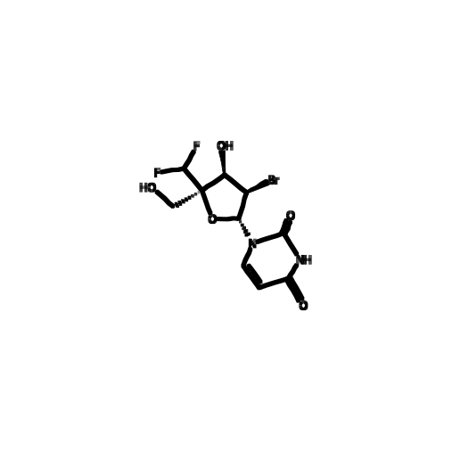 O=c1ccn([C@@H]2O[C@@](CO)(C(F)F)[C@@H](O)[C@H]2Br)c(=O)[nH]1